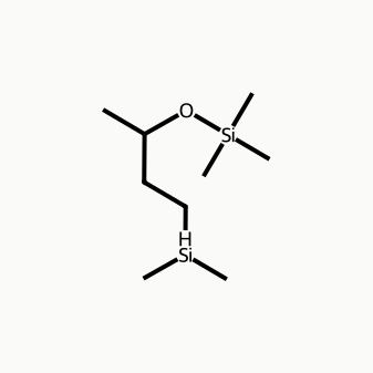 CC(CC[SiH](C)C)O[Si](C)(C)C